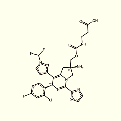 N[C@]1(COC(=O)NCCC(=O)O)CC2=C(c3ccn(C(F)F)n3)[C@H](c3ccc(F)cc3Cl)N=C(c3nccs3)N2C1